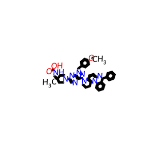 COc1ccc(Cn2nc(N3CCCc4nc(N=C(c5ccccc5)c5ccccc5)ccc43)c3ncc(N4CCC(C)(CNC(=O)O)CC4)nc32)cc1